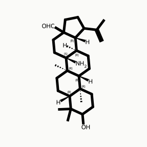 C=C(C)C1CCC2(C=O)CC[C@]3(N)[C@H](CC[C@@H]4[C@@]5(C)CCC(O)C(C)(C)[C@@H]5CC[C@]43C)[C@@H]12